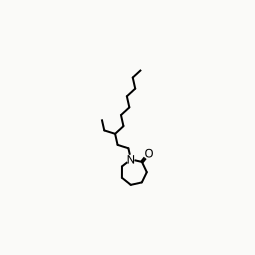 CCCCCCCC(CC)CCN1CCCCCC1=O